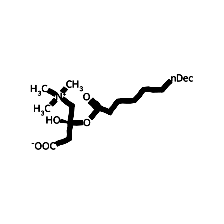 CCCCCCCCCCCCCCCC(=O)O[C@](O)(CC(=O)[O-])C[N+](C)(C)C